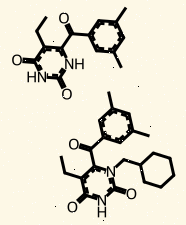 CCc1c(C(=O)c2cc(C)cc(C)c2)[nH]c(=O)[nH]c1=O.CCc1c(C(=O)c2cc(C)cc(C)c2)n(CC2CCCCC2)c(=O)[nH]c1=O